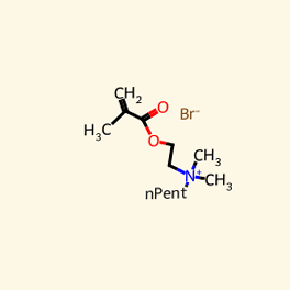 C=C(C)C(=O)OCC[N+](C)(C)CCCCC.[Br-]